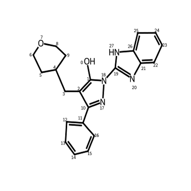 Oc1c(CC2CCOCC2)c(-c2ccccc2)nn1-c1nc2ccccc2[nH]1